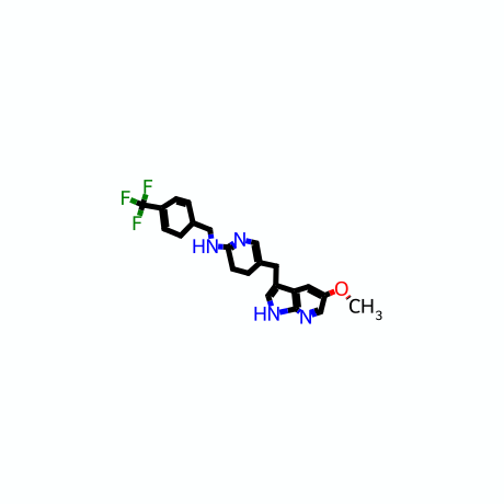 COc1cnc2[nH]cc(CC3=CN=C(NCC4C=CC(C(F)(F)F)=CC4)CC3)c2c1